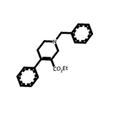 CCOC(=O)C1=C(c2ccccc2)CCN(Cc2ccccc2)C1